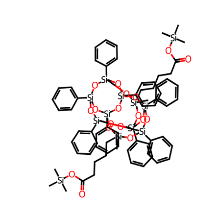 C[Si](C)(C)OC(=O)CCCC[Si]1(C)O[Si]2(c3ccccc3)O[Si]3(c4ccccc4)O[Si]4(c5ccccc5)O[Si](C)(CCCCC(=O)O[Si](C)(C)C)O[Si]5(c6ccccc6)O[Si](c6ccccc6)(O[Si](c6ccccc6)(O1)O[Si](c1ccccc1)(O5)O[Si](c1ccccc1)(O2)O4)O3